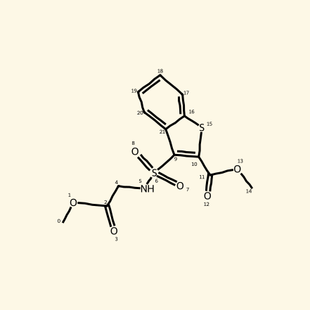 COC(=O)CNS(=O)(=O)c1c(C(=O)OC)sc2ccccc12